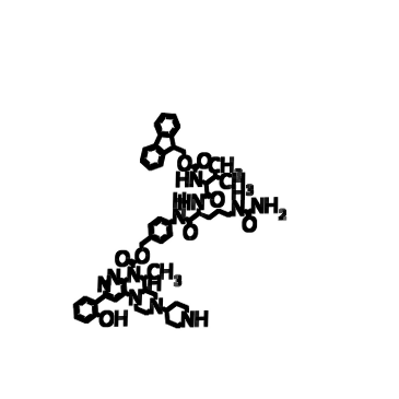 CC(C)[C@H](NC(=O)OCC1c2ccccc2-c2ccccc21)C(=O)N[C@@H](CCCNC(N)=O)C(=O)Nc1ccc(COC(=O)N2c3nnc(-c4ccccc4O)cc3N3CCN(C4CCNCC4)C[C@H]3[C@@H]2C)cc1